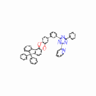 c1ccc(-c2nc(-c3cccc(-c4ccc5c(c4)Oc4ccc6c(c4O5)-c4ccccc4C6(c4ccccc4)c4ccccc4)c3)nc(-c3ccccn3)n2)cc1